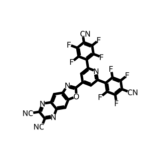 N#Cc1nc2cc3nc(-c4cc(-c5c(F)c(F)c(C#N)c(F)c5F)nc(-c5c(F)c(F)c(C#N)c(F)c5F)c4)oc3cc2nc1C#N